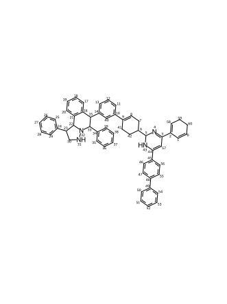 C1=CC(C2=NC(C3CC=C(c4cccc(C5c6ccccc6C6C(c7ccccc7)CNN6C5c5ccccc5)c4)CC3)NC(c3ccc(-c4ccccc4)cc3)=C2)=CCC1